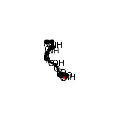 Cc1cc(NC(=O)c2ccc(CN3CCN(CCOCCC(C)(O)CCOCCOc4cccc5c4C(=O)N(C46CC4C(=O)NC6=O)C5=O)CC3)cc2)ccc1Nc1cccc(-c2cccnc2)n1